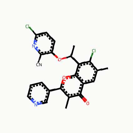 Cc1cc2c(=O)c(C)c(-c3cccnc3)oc2c(C(C)Oc2ccc(Cl)nc2C#N)c1Cl